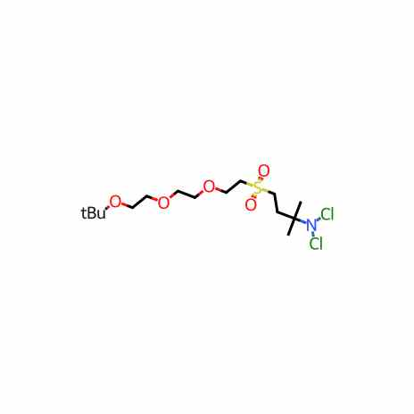 CC(C)(C)OCCOCCOCCS(=O)(=O)CCC(C)(C)N(Cl)Cl